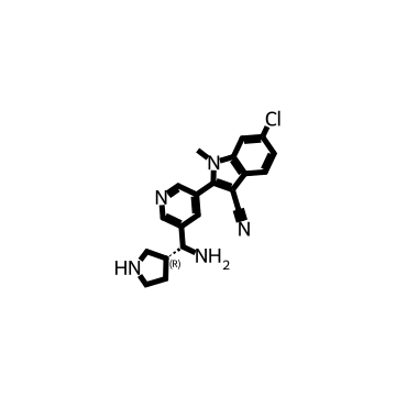 Cn1c(-c2cncc(C(N)[C@@H]3CCNC3)c2)c(C#N)c2ccc(Cl)cc21